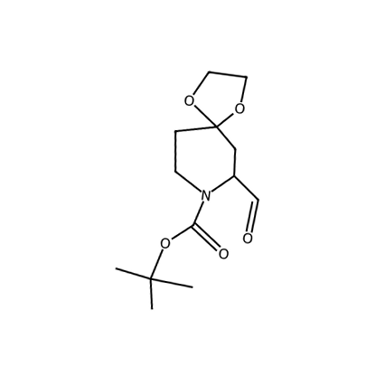 CC(C)(C)OC(=O)N1CCC2(CC1C=O)OCCO2